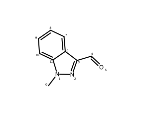 Cn1nc([C]=O)c2ccccc21